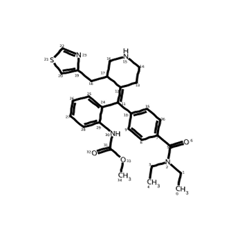 CCN(CC)C(=O)c1ccc(C(=C2CCNCC2Cc2cscn2)c2ccccc2NC(=O)OC)cc1